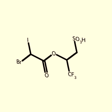 O=C(OC(CS(=O)(=O)O)C(F)(F)F)C(Br)I